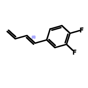 C=C/C=C/c1ccc(F)c(F)c1